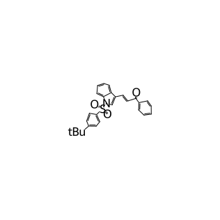 CC(C)(C)c1ccc(S(=O)(=O)n2cc(C=CC(=O)c3ccccc3)c3ccccc32)cc1